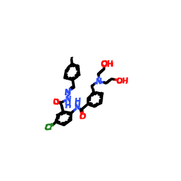 Cc1ccc(C=NNC(=O)c2cc(Cl)ccc2NC(=O)c2cccc(CN(CCO)CCO)c2)cc1